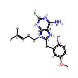 COc1ccc(I)c(Cc2nc3c(N)nc(F)nc3n2CCC=C(C)C)c1